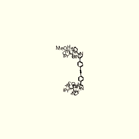 COC(=O)N[C@H](C(=O)N1[C@H](c2ncc(-c3ccc(C#Cc4ccc(-c5cnc([C@@H]6CCN(C)N6C(=O)[C@H](C(C)C)N(C)C(=O)O)[nH]5)cc4)cc3)[nH]2)CCN1C)C(C)C